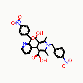 CC1=C(C(=O)O)C(c2cccnc2Cc2ccc([N+](=O)[O-])cc2)C(C(=O)O)=C(C)N1Cc1ccc([N+](=O)[O-])cc1